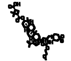 C=C(C)[C@@H]1CC[C@]2(NCC(CN3CCS(=O)(=O)CC3)NC(=O)OCCOC)CC[C@]3(C)[C@H](CC[C@@H]4[C@@]5(C)CC[C@H](OC(=O)[C@H]6C[C@@H](C(=O)O)C6(C)C)C(C)(C)[C@@H]5CC[C@]43C)[C@@H]12